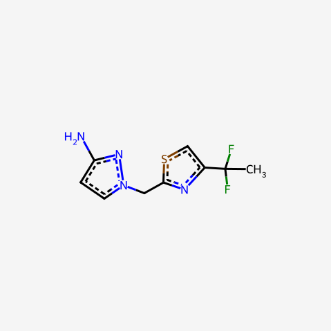 CC(F)(F)c1csc(Cn2ccc(N)n2)n1